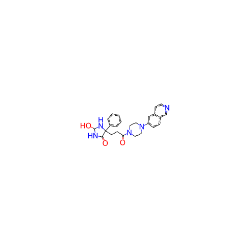 O=C(CCC1(c2ccccc2)NC(O)NC1=O)N1CCN(c2ccc3cnccc3c2)CC1